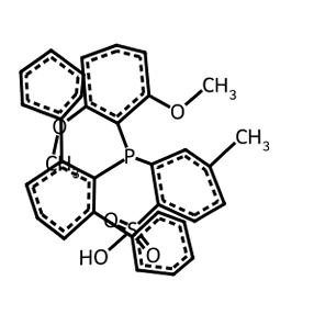 COc1cccc(OC)c1P(c1cc(C)ccc1S(=O)(=O)O)c1c(-c2ccccc2)cccc1-c1ccccc1